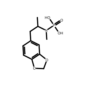 CC(Cc1ccc2c(c1)OCO2)N(C)P(=O)(O)O